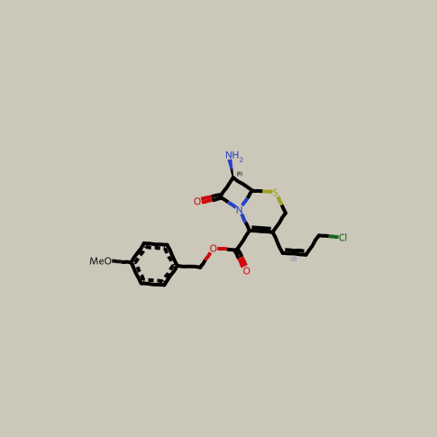 COc1ccc(COC(=O)C2=C(/C=C\CCl)CSC3[C@H](N)C(=O)N23)cc1